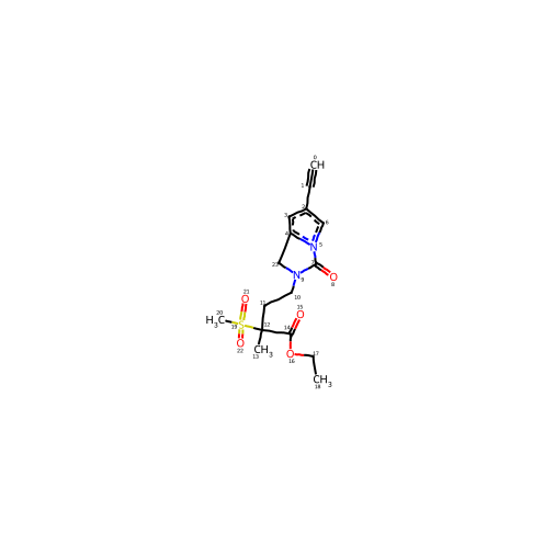 C#Cc1cc2n(c1)C(=O)N(CCC(C)(C(=O)OCC)S(C)(=O)=O)C2